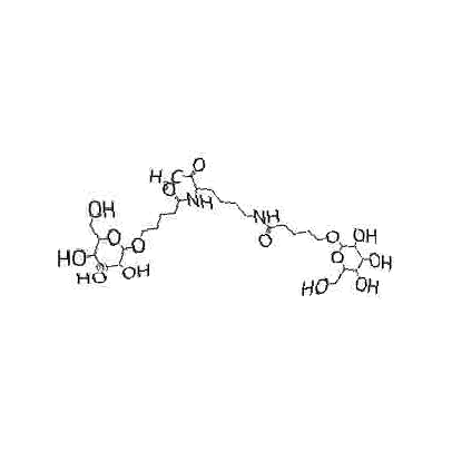 CC(=O)C(CCCCNC(=O)CCCCOC1OC(CO)C(O)C(O)C1O)NC(=O)CCCCOC1OC(CO)C(O)[C@@H](O)C1O